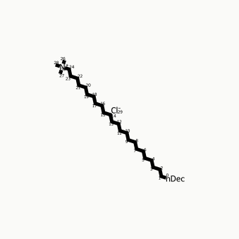 CCCCCCCCCCCCCCCCCCCCCCCCCCCCCCCCCC[N+](C)(C)C.[Cl-]